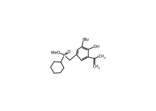 C=C(C)c1cc(CP(=O)(OC)C2CCCCC2)cc(C(C)(C)C)c1O